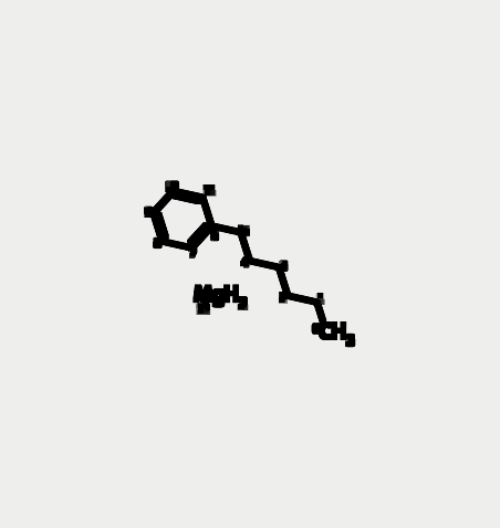 CCCCC[CH]c1ccccc1.[MgH2]